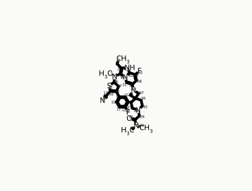 CCC1=C(N(C)C2CC(c3ccc(F)cc3)=C(C#N)S2)N2C=C(N3CC4(CCN(CC(=O)N(C)C)CC4)C3)C=C(F)C2N1